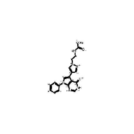 COC(=O)NCCn1cc(-c2cn(-c3ccccc3)c3nc[nH]c(=O)c23)cn1